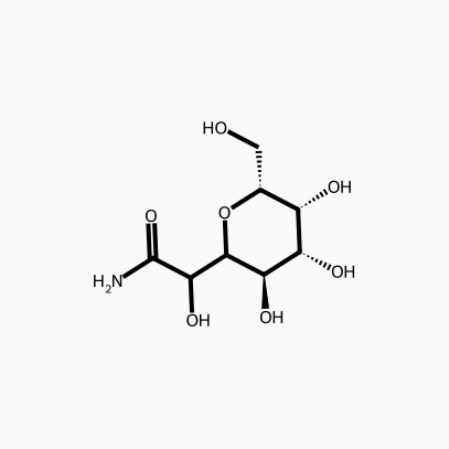 NC(=O)C(O)C1O[C@H](CO)[C@H](O)[C@H](O)[C@H]1O